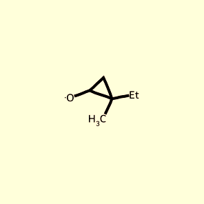 CCC1(C)CC1[O]